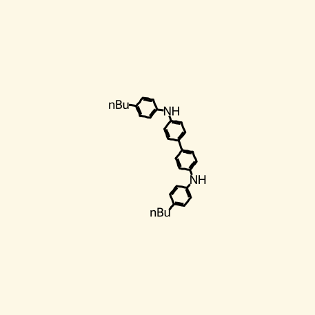 CCCCc1ccc(Nc2ccc(-c3ccc(Nc4ccc(CCCC)cc4)cc3)cc2)cc1